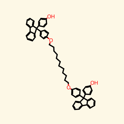 Oc1ccc(C2(c3ccc(OCCCCCCCCCCCCOc4ccc(C5(c6ccc(O)cc6)c6ccccc6-c6ccccc65)cc4)cc3)c3ccccc3-c3ccccc32)cc1